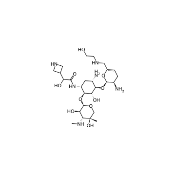 CN[C@@H]1[C@@H](O)[C@@H](O[C@@H]2[C@@H](O)[C@H](O[C@H]3OC(CNCCO)=CC[C@H]3N)[C@@H](N)C[C@H]2NC(=O)C(O)C2CNC2)OC[C@]1(C)O